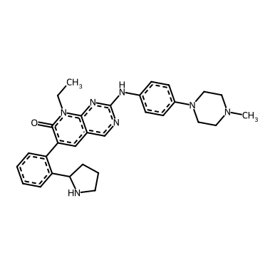 CCn1c(=O)c(-c2ccccc2C2CCCN2)cc2cnc(Nc3ccc(N4CCN(C)CC4)cc3)nc21